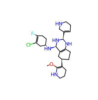 COC1=C([C@@H]2CCC3=C(C2)[C@@H](N[C@H]2CCC(F)=C(Cl)C2)N[C@@H](C2=CCCNC2)N3)CCCN1